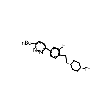 CCCCc1ccc(-c2ccc(CC[C@H]3CC[C@H](CC)CC3)c(F)c2)nn1